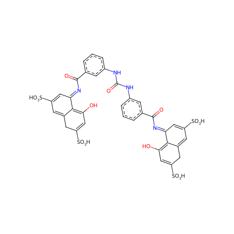 O=C(Nc1cccc(C(=O)N=C2C=C(S(=O)(=O)O)C=C3CC(S(=O)(=O)O)=CC(O)=C32)c1)Nc1cccc(C(=O)N=C2C=C(S(=O)(=O)O)C=C3CC(S(=O)(=O)O)=CC(O)=C32)c1